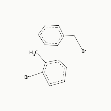 BrCc1ccccc1.Cc1ccccc1Br